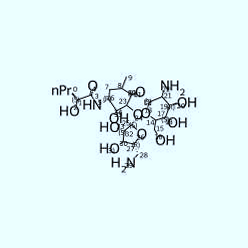 CCC[C@H](O)C(=O)N[C@@H]1CC(C)[C@@H](O[C@H]2OC(CO)[C@@H](O)[C@H](O)C2N)C(O[C@@H]2O[C@H](CN)C(O)[C@@H]2O)C1O